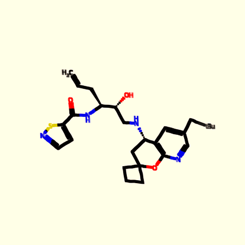 C=CC[C@H](NC(=O)c1ccns1)[C@H](O)CN[C@H]1CC2(CCC2)Oc2ncc(CC(C)(C)C)cc21